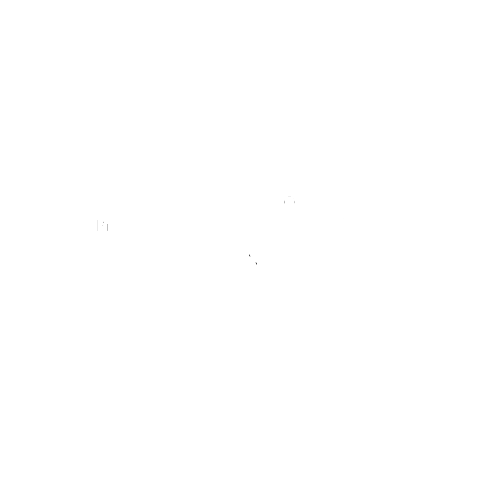 Brc1ccc2c(ccn2-c2occ3ccccc23)c1